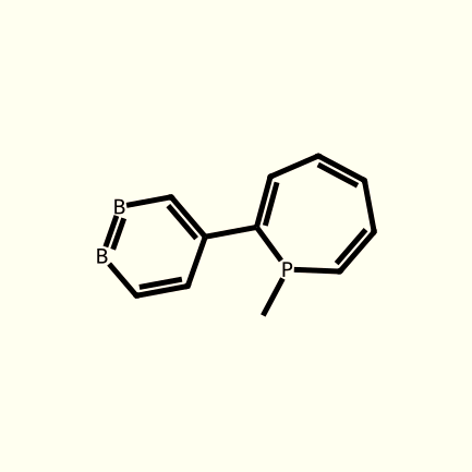 CP1C=CC=CC=C1c1cbbcc1